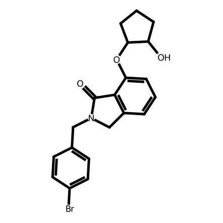 O=C1c2c(cccc2OC2CCCC2O)CN1Cc1ccc(Br)cc1